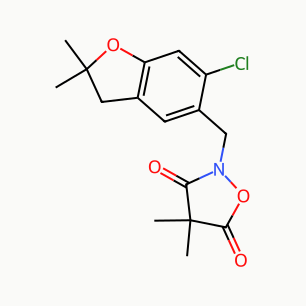 CC1(C)Cc2cc(CN3OC(=O)C(C)(C)C3=O)c(Cl)cc2O1